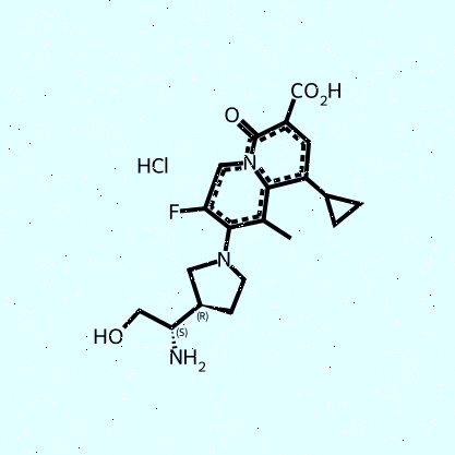 Cc1c(N2CC[C@@H]([C@H](N)CO)C2)c(F)cn2c(=O)c(C(=O)O)cc(C3CC3)c12.Cl